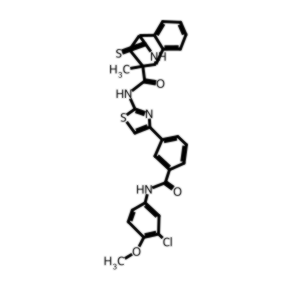 COc1ccc(NC(=O)c2cccc(-c3csc(NC(=O)C4(C)CC5C(=S)NC4c4ccccc45)n3)c2)cc1Cl